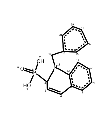 O=P(O)(O)C1C=Cc2ccccc2N1Cc1ccccc1